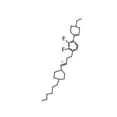 CCCCCCC1CCC(/C=C/CCc2ccc(C3=CCC(CC)CC3)c(F)c2F)CC1